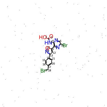 O=C(O)Nc1ncc(Br)nc1-c1cc(-c2ccc(CBr)cc2)no1